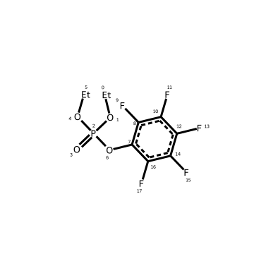 CCOP(=O)(OCC)Oc1c(F)c(F)c(F)c(F)c1F